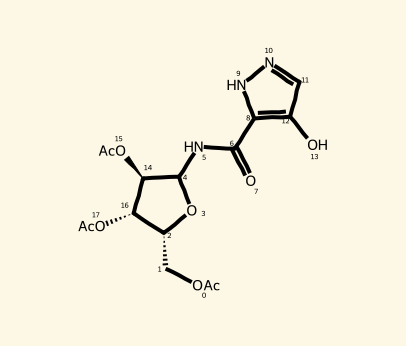 CC(=O)OC[C@H]1OC(NC(=O)c2[nH]ncc2O)[C@H](OC(C)=O)[C@H]1OC(C)=O